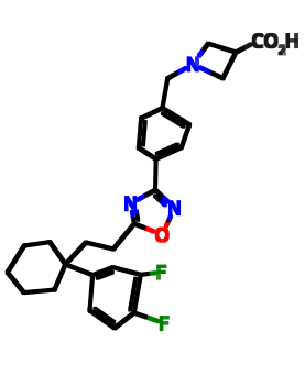 O=C(O)C1CN(Cc2ccc(-c3noc(CCC4(c5ccc(F)c(F)c5)CCCCC4)n3)cc2)C1